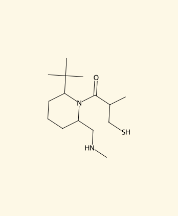 CNCC1CCCC(C(C)(C)C)N1C(=O)C(C)CS